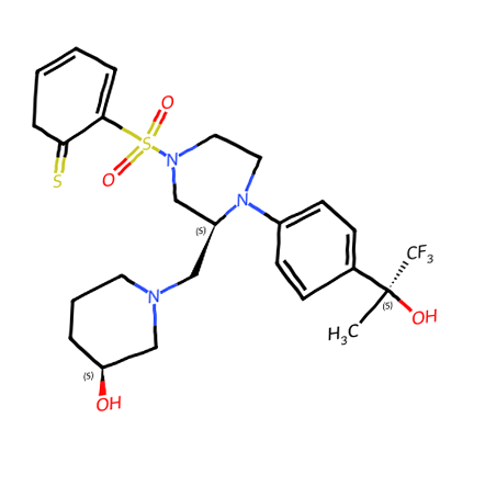 C[C@](O)(c1ccc(N2CCN(S(=O)(=O)C3=CC=CCC3=S)C[C@@H]2CN2CCC[C@H](O)C2)cc1)C(F)(F)F